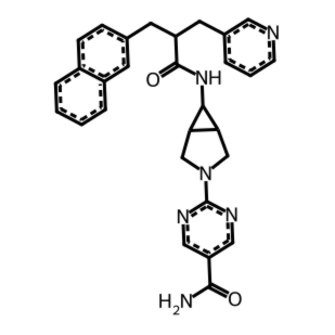 NC(=O)c1cnc(N2CC3C(C2)C3NC(=O)C(Cc2cccnc2)Cc2ccc3ccccc3c2)nc1